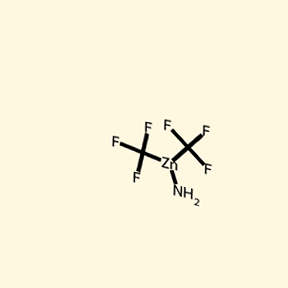 [NH2][Zn]([C](F)(F)F)[C](F)(F)F